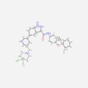 C=C(/C=C\C(=C/C)NC(=O)c1n[nH]c2ccc(-c3cncc(CN4CCC(F)(F)CC4)c3)cc12)Oc1ccccc1F